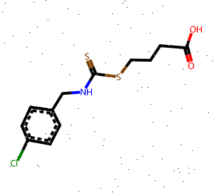 O=C(O)CCCSC(=S)NCc1ccc(Cl)cc1